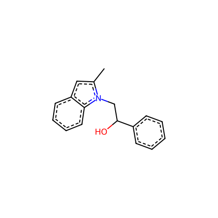 Cc1cc2ccccc2n1CC(O)c1ccccc1